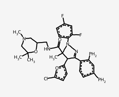 CN1CC(CNC(=O)C2(C)C(c3ccc(Cl)o3)C(c3ccc(P)cc3P)=NN2c2ccc(F)cc2F)OC(C)(C)C1